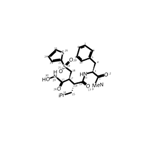 CNC(=O)[C@H](Cc1ccccc1)NC(=O)[C@H](CC(C)C)[C@H](CS(=O)(=O)c1cccs1)C(=O)NO